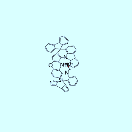 c1ccc2c(c1)-c1ccccc1C21c2ccc3c4c2-n2c5c1cccc5c1ccc[n+](c12)[N+]41c2c(ccc4c2N(c2ccccc2[Si]42c4ccccc4-c4ccccc42)c2cccc[n+]21)O3